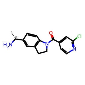 C[C@@H](N)c1ccc2c(c1)CCN2C(=O)c1ccnc(Cl)c1